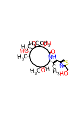 C/C(=C\c1csc(CO)n1)[C@@H]1C[C@@H]2O[C@]2(C)CCC[C@H](C)[C@H](O)[C@@H](C)C(=O)C(C)(C)[C@@H](O)CC(=O)N1